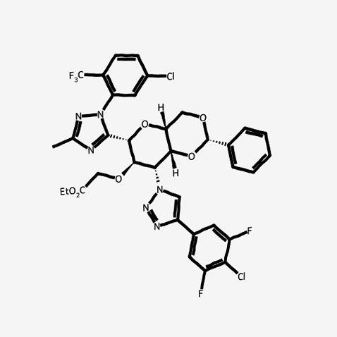 CCOC(=O)CO[C@@H]1[C@@H](n2cc(-c3cc(F)c(Cl)c(F)c3)nn2)[C@H]2O[C@@H](c3ccccc3)OC[C@H]2O[C@H]1c1nc(C)nn1-c1cc(Cl)ccc1C(F)(F)F